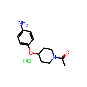 CC(=O)N1CCC(Oc2ccc(N)cc2)CC1.Cl